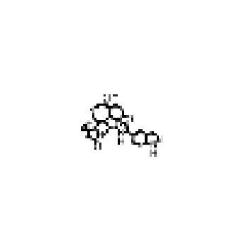 O=C1C=C(F)C2=C(Cl)C=NCC3=C(C2=C1)C(c1ncc(-c2ccc4[nH]ncc4c2)[nH]1)CN1C(=O)CC2(CC2)[C@H]31